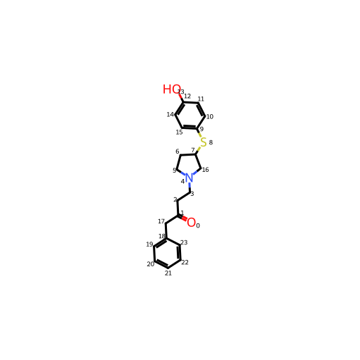 O=C(CCN1CCC(Sc2ccc(O)cc2)C1)Cc1ccccc1